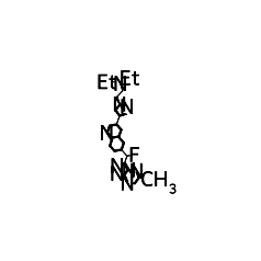 CCN(CC)CCn1cc(-c2cnc3ccc(C(F)c4nnc5ncc(C)nn45)cc3c2)cn1